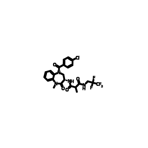 CC(C(=O)NCC(F)(F)C(F)(F)F)C(=O)N[C@H]1CN(C(=O)c2ccc(Cl)cc2)c2ccccc2N(C)C1=O